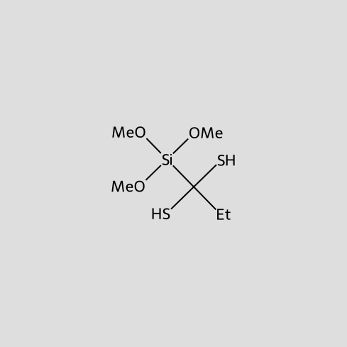 CCC(S)(S)[Si](OC)(OC)OC